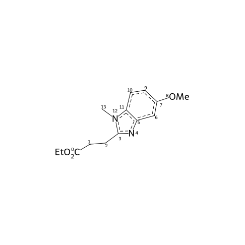 CCOC(=O)CCc1nc2cc(OC)ccc2n1C